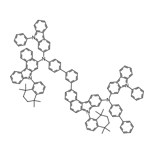 CC1(C)CCC(C)(C)c2c(-n3c4cc(N(c5ccc(-c6ccccc6)cc5)c5ccc6c7ccccc7n(-c7ccccc7)c6c5)ccc4c4c5cc(-c6cccc(-c7ccc(N(c8ccc9c%10ccccc%10n(-c%10ccccc%10)c9c8)c8cc9c(c%10ccccc8%10)c8ccccc8n9-c8cccc9c8C(C)(C)CCC9(C)C)cc7)c6)ccc5ccc43)cccc21